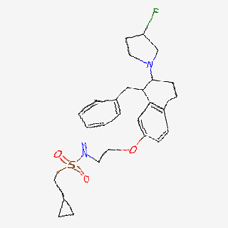 O=S(=O)(CC1CC1)NCCOc1ccc2c(c1)C(Cc1ccccc1)C(N1CCC(F)C1)CC2